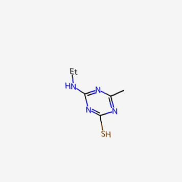 CCNc1nc(C)nc(S)n1